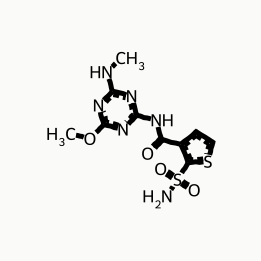 CNc1nc(NC(=O)c2ccsc2S(N)(=O)=O)nc(OC)n1